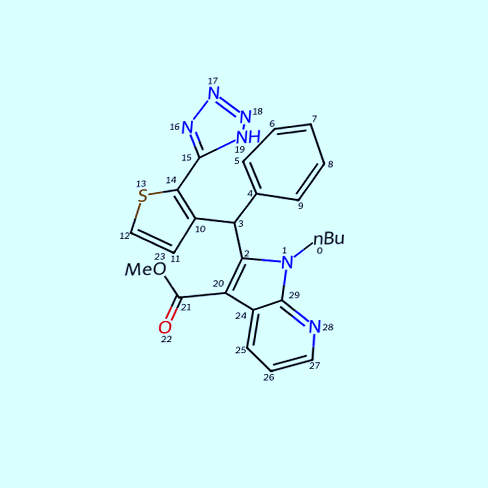 CCCCn1c(C(c2ccccc2)c2ccsc2-c2nnn[nH]2)c(C(=O)OC)c2cccnc21